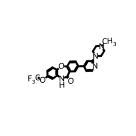 CN1CCN(c2cc(-c3ccc4c(c3)C(=O)Nc3cc(OC(F)(F)F)ccc3O4)ccn2)CC1